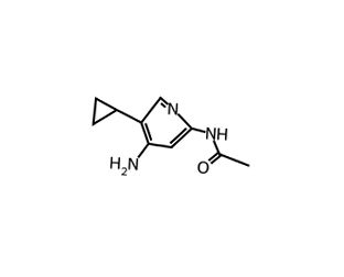 CC(=O)Nc1cc(N)c(C2CC2)cn1